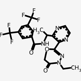 CCN1N=C(c2nccnc2C(C)NC(=O)c2cc(C(F)(F)F)cc(C(F)(F)F)c2)OCC1=O